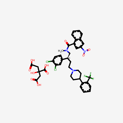 CN(C[C@@H](CCN1CCC(c2ccccc2C(F)(F)F)CC1)c1ccc(Cl)c(Cl)c1)C(=O)c1cc([N+](=O)[O-])cc2ccccc12.O=C(O)CC(O)(CC(=O)O)C(=O)O